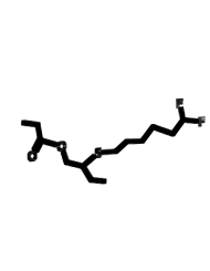 CCC(=O)OCC(CC)SCCCCCC(F)F